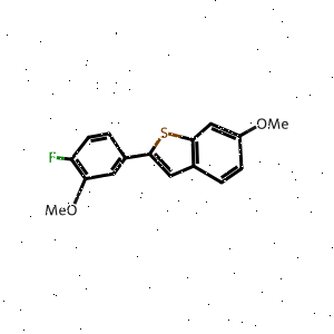 COc1ccc2cc(-c3ccc(F)c(OC)c3)sc2c1